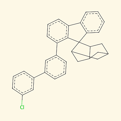 Clc1cccc(-c2cccc(-c3cccc4c3C3(c5ccccc5-4)C4CC5CC(C4)C3C5)c2)c1